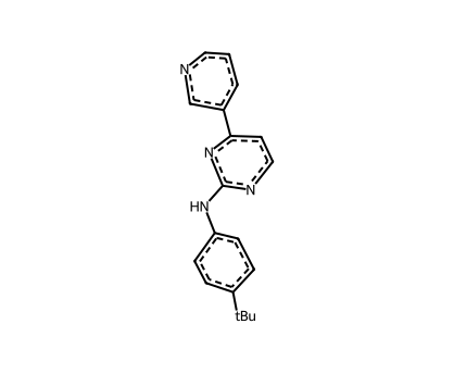 CC(C)(C)c1ccc(Nc2nccc(-c3cccnc3)n2)cc1